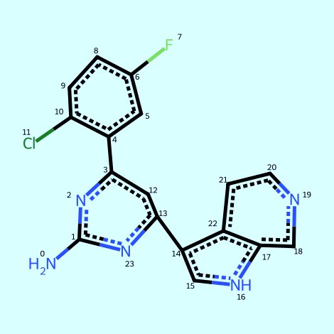 Nc1nc(-c2cc(F)ccc2Cl)cc(-c2c[nH]c3cnccc23)n1